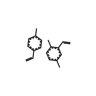 C=Cc1cc(C)ccc1C.C=Cc1ccc(C)cc1